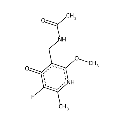 COc1[nH]c(C)c(F)c(=O)c1CNC(C)=O